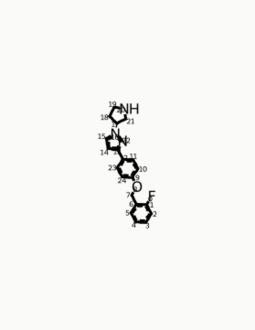 Fc1ccccc1COc1ccc(-c2ccn([C@@H]3CCNC3)n2)cc1